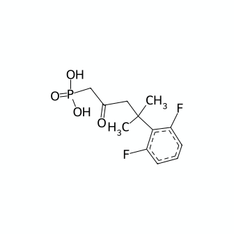 CC(C)(CC(=O)CP(=O)(O)O)c1c(F)cccc1F